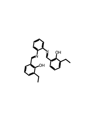 CCc1cccc(C=Nc2ccccc2N=Cc2cccc(CC)c2O)c1O